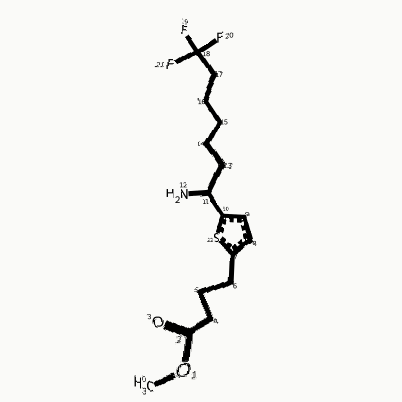 COC(=O)CCCc1ccc(C(N)CCCCCC(F)(F)F)s1